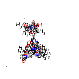 CC[C@H](C)C(C(CC(=O)NCCCCC(OC)C(C)C(=O)N[C@@H](Cc1ccccc1OC)C(=O)O)OC)N(C)C(=O)[C@@H](NC(=O)C(C(C)C)N(C)C(=O)CCCCCN1C(=O)C=CC1=O)C(C)C